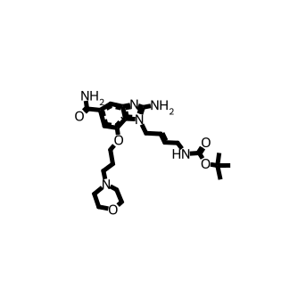 CC(C)(C)OC(=O)NC/C=C/Cn1c(N)nc2cc(C(N)=O)cc(OCCCN3CCOCC3)c21